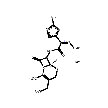 CO/N=C(\C(=O)NC1C(=O)N2C(C(=O)[O-])=C(COC(C)=O)CS[C@H]12)c1csc(N)n1.[Na+]